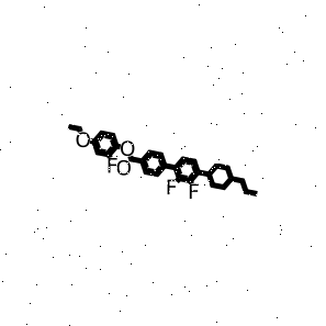 CCCC1CCC(c2ccc(-c3ccc(C(=O)Oc4ccc(OCC)cc4F)cc3)c(F)c2F)CC1